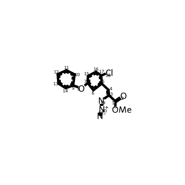 COC(=O)C(=Cc1cc(Oc2ccccc2)ccc1Cl)N=[N+]=[N-]